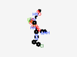 CC(C)(C)OC(=O)NCCCNc1ccc(S(=O)(=O)NC(=O)c2ccc(N3CCN(Cc4ccccc4-c4ccc(Cl)cc4)CC3)cc2Oc2cnc3[nH]ccc3c2)cc1S(=O)(=O)C(F)(F)F